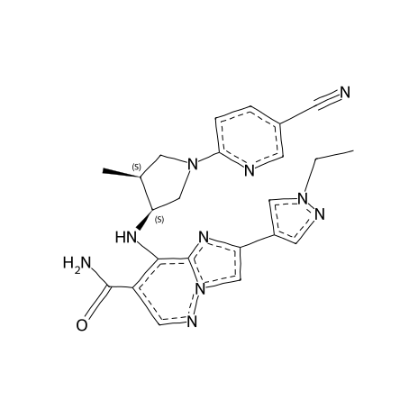 CCn1cc(-c2cn3ncc(C(N)=O)c(N[C@@H]4CN(c5ccc(C#N)cn5)C[C@@H]4C)c3n2)cn1